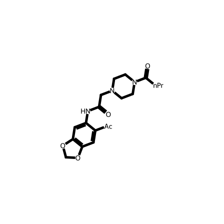 CCCC(=O)N1CCN(CC(=O)Nc2cc3c(cc2C(C)=O)OCO3)CC1